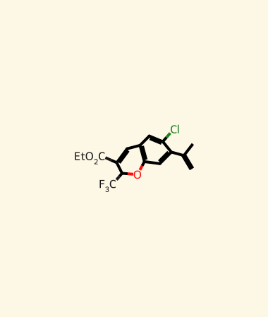 C=C(C)c1cc2c(cc1Cl)C=C(C(=O)OCC)C(C(F)(F)F)O2